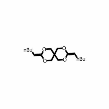 CCCCC=C1OCC2(CO1)COC(=CCCCC)OC2